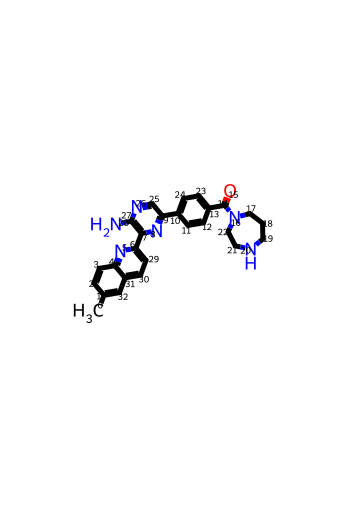 Cc1ccc2nc(-c3nc(-c4ccc(C(=O)N5CCCNCC5)cc4)cnc3N)ccc2c1